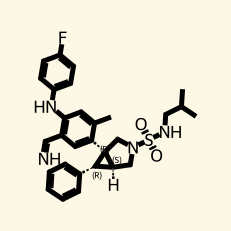 Cc1cc(Nc2ccc(F)cc2)c(C=N)cc1[C@]12CN(S(=O)(=O)NCC(C)C)C[C@H]1[C@@H]2c1ccccc1